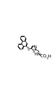 O=C(O)NCc1ncc(Sc2cc3ccccc3c3ccccc23)s1